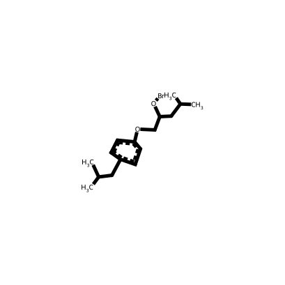 CC(C)Cc1ccc(OCC(CC(C)C)OBr)cc1